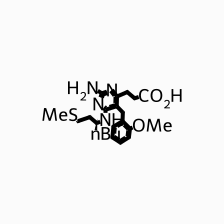 CCCC[C@@H](CCSC)Nc1nc(N)nc(CCC(=O)O)c1Cc1ccccc1OC